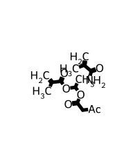 C=C(C)C(=O)OC(C)OC(=O)CC(C)=O.C=C(C)C(N)=O